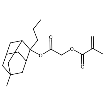 C=C(C)C(=O)OCC(=O)OC1(CCC)C2CC3CC1CC(C)(C3)C2